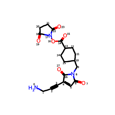 NCC#CC1=CC(=O)N(CC2CCC(C(=O)ON3C(=O)CCC3=O)CC2)C1=O